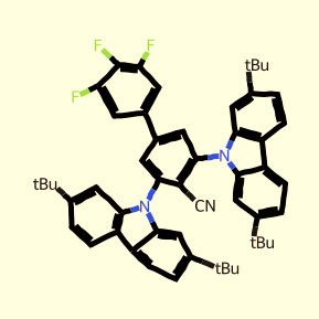 CC(C)(C)c1ccc2c3ccc(C(C)(C)C)cc3n(-c3cc(-c4cc(F)c(F)c(F)c4)cc(-n4c5cc(C(C)(C)C)ccc5c5ccc(C(C)(C)C)cc54)c3C#N)c2c1